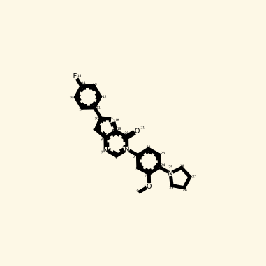 COc1cc(-n2cnc3cc(-c4ccc(F)cc4)sc3c2=O)ccc1N1CCCC1